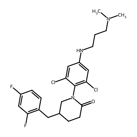 CN(C)CCCNc1cc(Cl)c(N2CC(Cc3ccc(F)cc3F)CCC2=O)c(Cl)c1